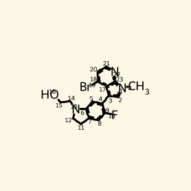 Cn1cc(-c2cc3c(cc2F)CCN3CCO)c2c(Br)ccnc21